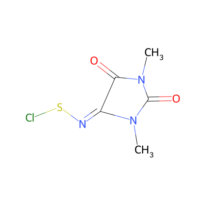 CN1C(=O)C(=NSCl)N(C)C1=O